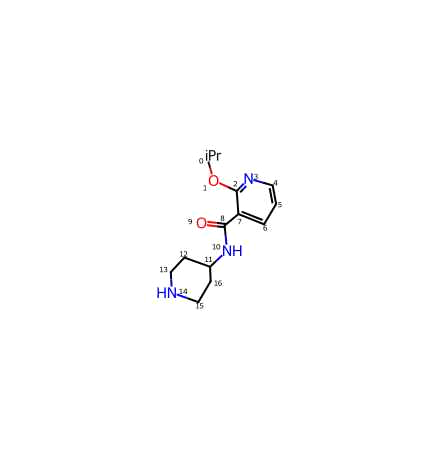 CC(C)Oc1ncccc1C(=O)NC1CCNCC1